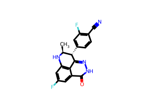 C[C@@H]1Nc2cc(F)cc3c(=O)[nH]nc(c23)[C@H]1c1ccc(C#N)c(F)c1